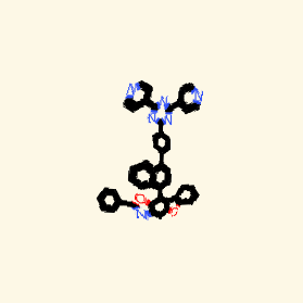 c1ccc(-c2nc3cc4oc5ccccc5c4c(-c4ccc(-c5ccc(-c6nc(-c7ccncc7)nc(-c7ccncc7)n6)cc5)c5ccccc45)c3o2)cc1